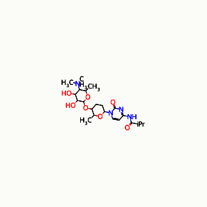 CC(C)C(=O)Nc1ccn(C2CCC(OC3OC(C)C(N(C)C)C(O)C3O)C(C)O2)c(=O)n1